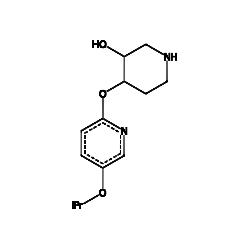 CC(C)Oc1ccc(OC2CCNCC2O)nc1